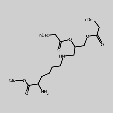 CCCCCCCCCCCC(=O)OCC(CNCCCCC(N)C(=O)OC(C)(C)C)OC(=O)CCCCCCCCCCC